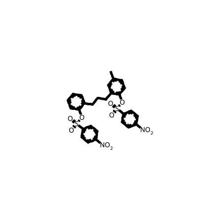 Cc1ccc(OS(=O)(=O)c2ccc([N+](=O)[O-])cc2)c(CCCc2ccccc2OS(=O)(=O)c2ccc([N+](=O)[O-])cc2)c1